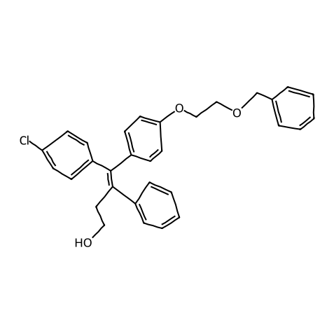 OCC/C(=C(\c1ccc(Cl)cc1)c1ccc(OCCOCc2ccccc2)cc1)c1ccccc1